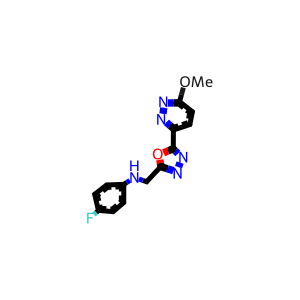 COc1ccc(-c2nnc(CNc3ccc(F)cc3)o2)nn1